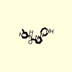 Cc1cc(NC(=O)c2cccc(N3CCCNCC3)n2)ccn1